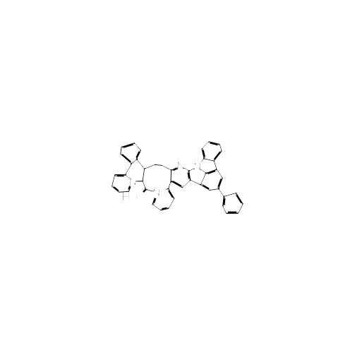 C=C1C2C(CCc3nc4c(cc3-c3cccc[n+]31)c1cc(-c3ccccc3)cc3c5ccccc5n4c31)c1ccccc1-c1cccc[n+]12